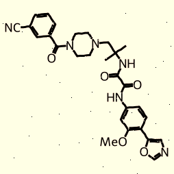 COc1cc(NC(=O)C(=O)NC(C)(C)CN2CCN(C(=O)c3cccc(C#N)c3)CC2)ccc1-c1cnco1